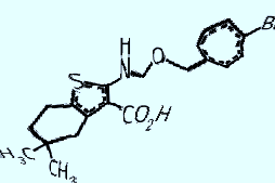 CC1(C)CCc2sc(NCOCc3ccc(Br)cc3)c(C(=O)O)c2C1